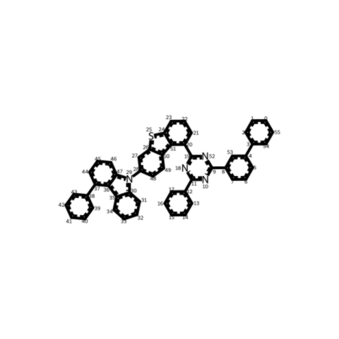 c1ccc(-c2cccc(-c3nc(-c4ccccc4)nc(-c4cccc5sc6cc(-n7c8ccccc8c8c(-c9ccccc9)cccc87)ccc6c45)n3)c2)cc1